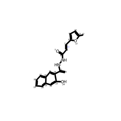 C=C(NNC(=O)/C=C/c1ccc(C)o1)c1cc2ccccc2cc1O